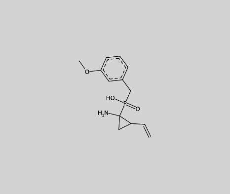 C=CC1CC1(N)P(=O)(O)Cc1cccc(OC)c1